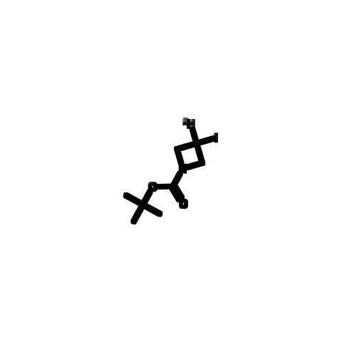 [2H]C1(I)CN(C(=O)OC(C)(C)C)C1